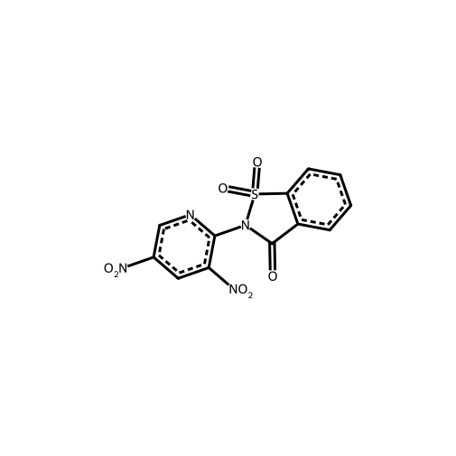 O=C1c2ccccc2S(=O)(=O)N1c1ncc([N+](=O)[O-])cc1[N+](=O)[O-]